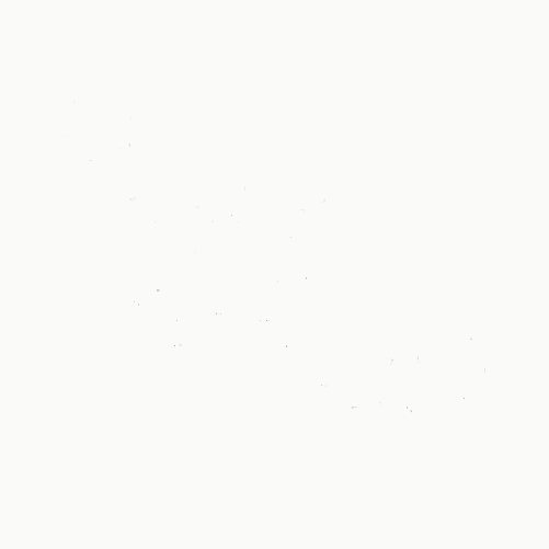 CCn1c2ccccc2c2cc(-c3ccc(-c4c5cc(C)c(C)cc5c(-c5ccc(-c6ccccc6)cc5)c5cc(C)c(C)cc45)cc3)ccc21